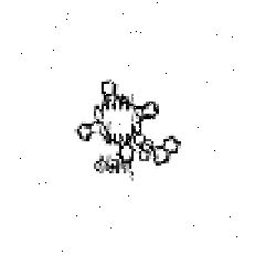 O=S(=O)(Oc1cccc2ccccc12)c1cccc2c3nc4nc(nc5[nH]c(nc6nc(nc([nH]3)c12)-c1ccccc1-6)c1ccccc51)-c1ccccc1-4.[GaH3].[NaH]